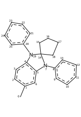 Cc1ccc2c(c1)N(c1ccccc1)C1(CCCC1)N2c1ccccc1